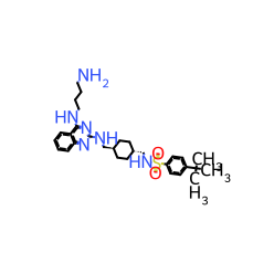 CC(C)(C)c1ccc(S(=O)(=O)NC[C@H]2CC[C@H](CNc3nc(NCCCCN)c4ccccc4n3)CC2)cc1